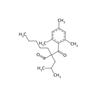 CCCCCC(CC(C)C)(P=O)C(=O)c1c(C)cc(C)cc1C